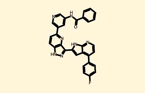 O=C(Nc1cncc(-c2ccc3[nH]nc(-c4cc5c(-c6ccc(F)cc6)ccnc5[nH]4)c3n2)c1)c1ccccc1